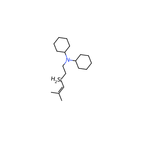 CC(C)=C[SiH2]CCN(C1CCCCC1)C1CCCCC1